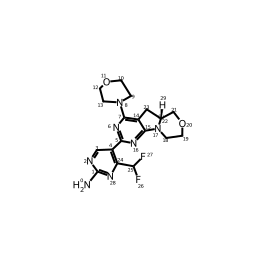 Nc1ncc(-c2nc(N3CCOCC3)c3c(n2)N2CCOC[C@H]2C3)c(C(F)F)n1